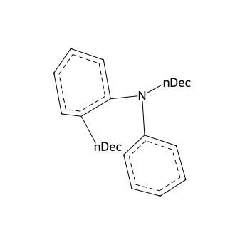 CCCCCCCCCCc1ccccc1N(CCCCCCCCCC)c1ccccc1